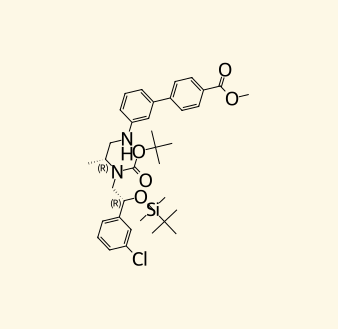 COC(=O)c1ccc(-c2cccc(NC[C@@H](C)N(C[C@H](O[Si](C)(C)C(C)(C)C)c3cccc(Cl)c3)C(=O)OC(C)(C)C)c2)cc1